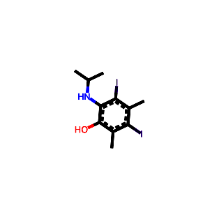 Cc1c(O)c(NC(C)C)c(I)c(C)c1I